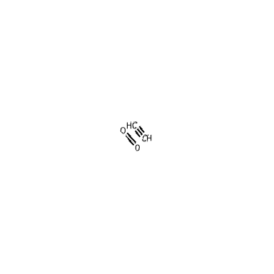 C#C.O=O